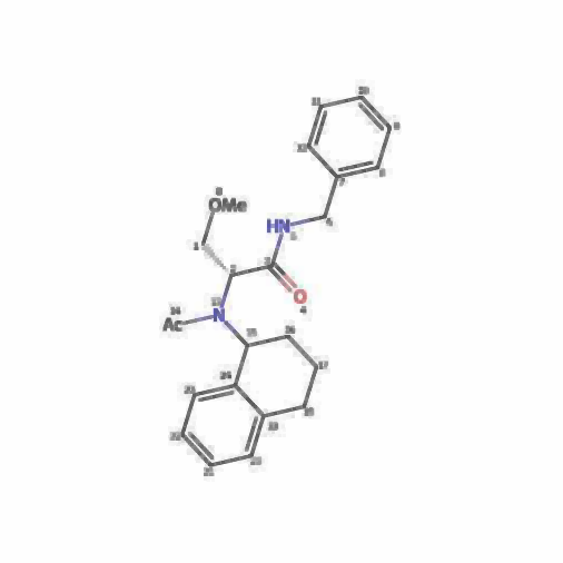 COC[C@H](C(=O)NCc1ccccc1)N(C(C)=O)C1CCCc2ccccc21